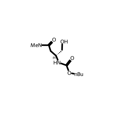 CCCCOC(=O)N[C@@H](CO)CC(=O)NC